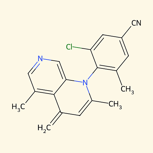 C=C1C=C(C)N(c2c(C)cc(C#N)cc2Cl)c2cncc(C)c21